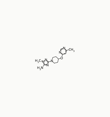 Cc1cc(OC2CCN(c3nc(N)n(C)n3)CC2)ncn1